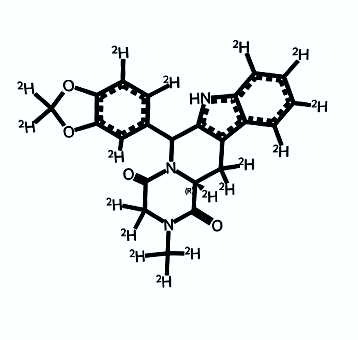 [2H]c1c([2H])c(C2c3[nH]c4c([2H])c([2H])c([2H])c([2H])c4c3C([2H])([2H])[C@]3([2H])C(=O)N(C([2H])([2H])[2H])C([2H])([2H])C(=O)N23)c([2H])c2c1OC([2H])([2H])O2